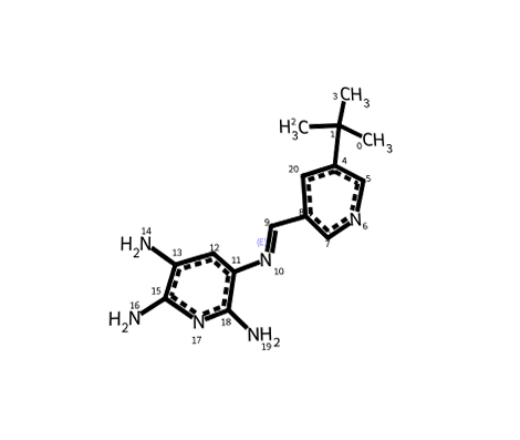 CC(C)(C)c1cncc(/C=N/c2cc(N)c(N)nc2N)c1